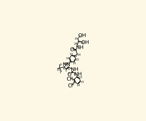 CC(C)(C)c1cc(NC(=O)Nc2cccc(Cl)c2Cl)n(-c2ccc(CC(=O)NCC(O)CO)cc2)n1